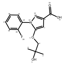 CC(C)(O)COc1cc(C(=O)O)nn1-c1ccccc1F